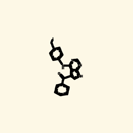 O=C(c1ccccc1)c1c[nH]c2ncnc(Nc3ccc(CI)cc3)c12